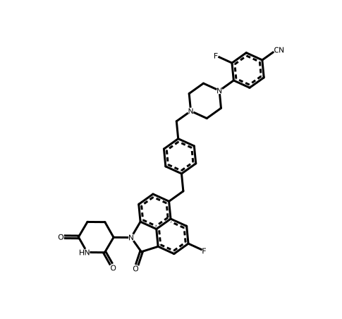 N#Cc1ccc(N2CCN(Cc3ccc(Cc4ccc5c6c(cc(F)cc46)C(=O)N5C4CCC(=O)NC4=O)cc3)CC2)c(F)c1